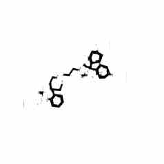 Cc1ccc(C2(c3ccc(C)cc3)NC(=O)N(CCCN3CCC4(CC3)OC(=O)N(C)c3ccccc34)C2=O)cc1